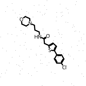 O=C(Cc1ccc(-c2ccc(Cl)cc2)s1)NCCCN1CCOCC1